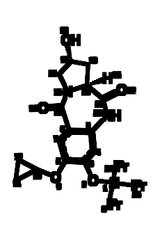 CC(C)[Si](Oc1cc2c(cc1OC1CC1)C(=O)N1C[C@H](O)C[C@H]1C(=O)N2)(C(C)C)C(C)C